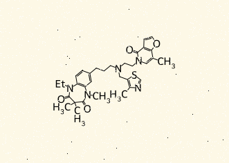 CCN1C(=O)C(C)(C)C(=O)N(C)c2cc(CCCN(CCn3cc(C)c4occc4c3=O)Cc3scnc3C)ccc21